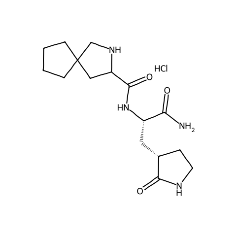 Cl.NC(=O)[C@H](C[C@@H]1CCNC1=O)NC(=O)C1CC2(CCCC2)CN1